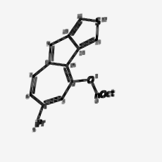 CCCCCCCCOc1cc(C(C)C)ccc2cc3cscc3c1-2